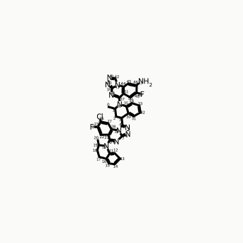 CC1CC(c2nnc3nc(N4c5ccccc5CCC4C)c4cc(F)c(Cl)cc4n23)c2ccccc2N1c1nc2nncn2c2cc(N)c(F)cc12